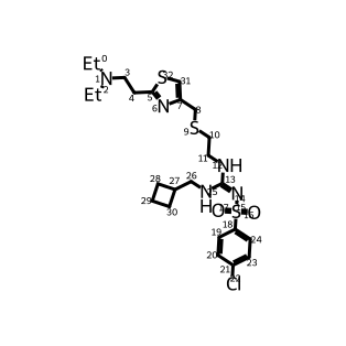 CCN(CC)CCc1nc(CSCCNC(=NS(=O)(=O)c2ccc(Cl)cc2)NCC2CCC2)cs1